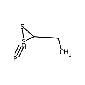 CCC1S[SH]1#P